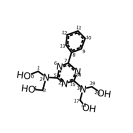 OCN(CO)c1nc(-c2ccccc2)nc(N(CO)CO)n1